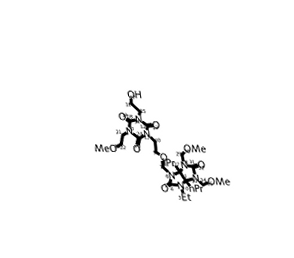 CCCC12N(CC)C(=O)N(COCCn3c(=O)n(CCO)c(=O)n(CCOC)c3=O)C1(CCC)N(COC)C(=O)N2COC